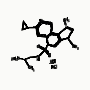 CC(C)CNS(=O)(=O)c1cc2c(c3cnc(C4CC4)cc13)[C@H](N)C[C@H]2N.Cl.Cl